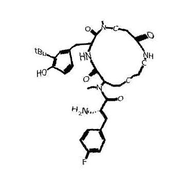 CN1CCC(=O)NCCCCC(N(C)C(=O)[C@@H](N)Cc2ccc(F)cc2)C(=O)NC(Cc2ccc(O)c(C(C)(C)C)c2)C1=O